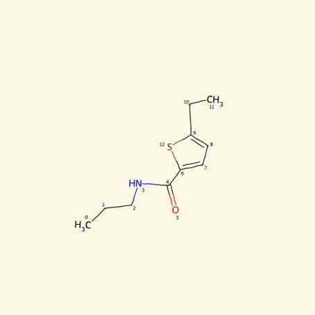 CCCNC(=O)c1ccc(CC)s1